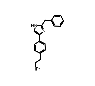 CC(C)CCc1ccc(-c2c[nH]c(Cc3ccccc3)n2)cc1